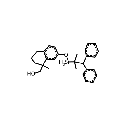 CC1(CO)CCCc2ccc(O[SiH2]C(C)(C)C(c3ccccc3)c3ccccc3)cc21